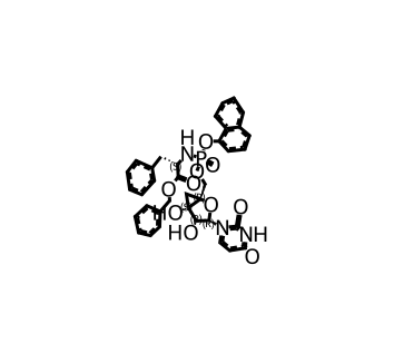 O=C(OCc1ccccc1)[C@H](Cc1ccccc1)NP(=O)(OC[C@]12C[C@]1(O)[C@@H](O)[C@H](n1ccc(=O)[nH]c1=O)O2)Oc1cccc2ccccc12